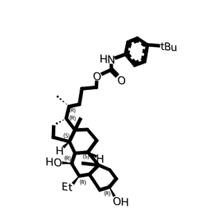 CC[C@@H]1C2C[C@H](O)CCC2(C)[C@H]2CCC3(C)[C@@H]([C@H](C)CCCOC(=O)Nc4ccc(C(C)(C)C)cc4)CC[C@H]3C2[C@@H]1O